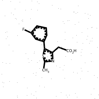 Cc1nc(CC(=O)O)c(-c2cccc(F)c2)s1